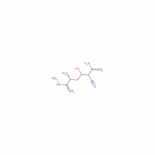 C=C(NC)C(C)CC(O)C(C#N)C(=C)N